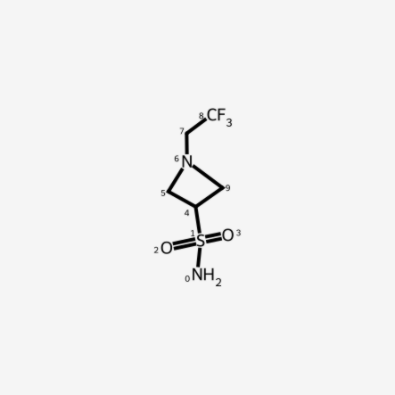 NS(=O)(=O)C1CN(CC(F)(F)F)C1